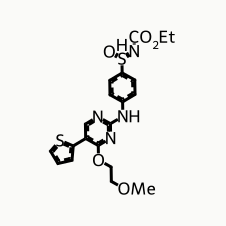 CCOC(=O)N=[SH](=O)c1ccc(Nc2ncc(-c3cccs3)c(OCCOC)n2)cc1